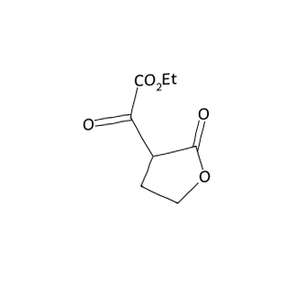 CCOC(=O)C(=O)C1CCOC1=O